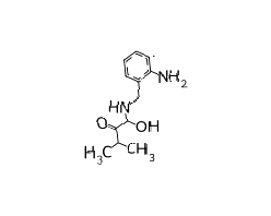 CC(C)C(=O)C(O)NCc1ccc[c]c1N